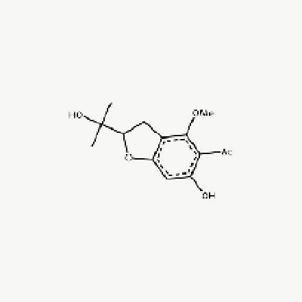 COc1c2c(cc(O)c1C(C)=O)OC(C(C)(C)O)C2